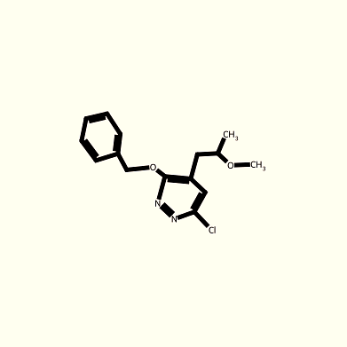 COC(C)Cc1cc(Cl)nnc1OCc1ccccc1